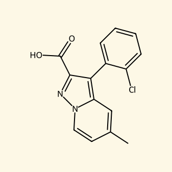 Cc1ccn2nc(C(=O)O)c(-c3ccccc3Cl)c2c1